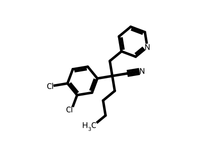 CCCCC(C#N)(Cc1cccnc1)c1ccc(Cl)c(Cl)c1